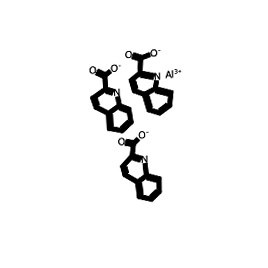 O=C([O-])c1ccc2ccccc2n1.O=C([O-])c1ccc2ccccc2n1.O=C([O-])c1ccc2ccccc2n1.[Al+3]